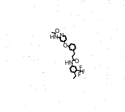 CCc1ccc(NC(=O)CCc2cccc(Oc3ccnc(NC(C)=O)c3)c2)cc1C(F)(F)F